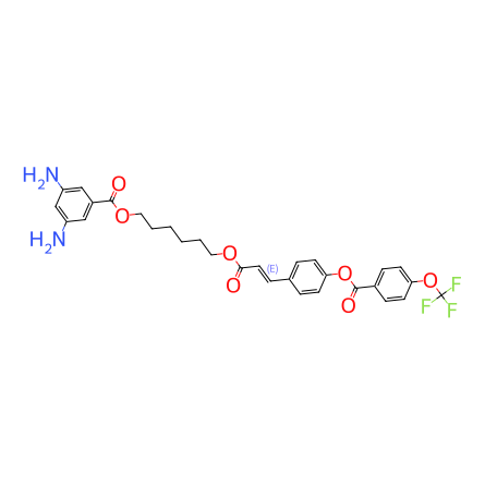 Nc1cc(N)cc(C(=O)OCCCCCCOC(=O)/C=C/c2ccc(OC(=O)c3ccc(OC(F)(F)F)cc3)cc2)c1